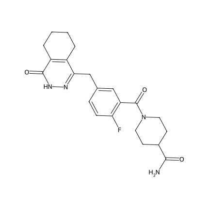 NC(=O)C1CCN(C(=O)c2cc(Cc3n[nH]c(=O)c4c3CCCC4)ccc2F)CC1